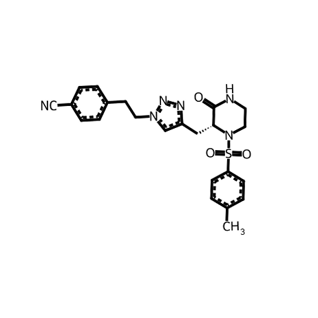 Cc1ccc(S(=O)(=O)N2CCNC(=O)[C@H]2Cc2cn(CCc3ccc(C#N)cc3)nn2)cc1